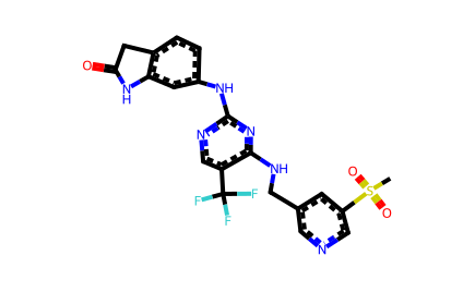 CS(=O)(=O)c1cncc(CNc2nc(Nc3ccc4c(c3)NC(=O)C4)ncc2C(F)(F)F)c1